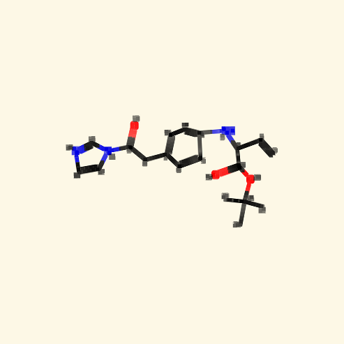 C=CC(Nc1ccc(CC(=O)n2ccnc2)cc1)C(=O)OC(C)(C)C